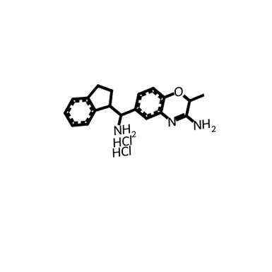 CC1Oc2ccc(C(N)C3CCc4ccccc43)cc2N=C1N.Cl.Cl